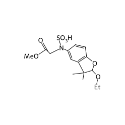 CCOC1Oc2ccc(N(CC(=O)OC)S(=O)(=O)O)cc2C1(C)C